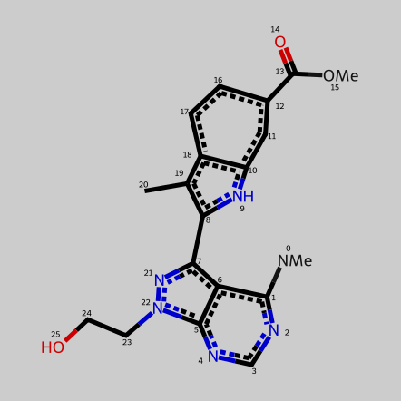 CNc1ncnc2c1c(-c1[nH]c3cc(C(=O)OC)ccc3c1C)nn2CCO